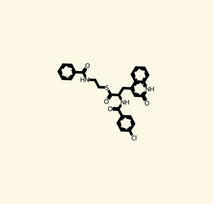 O=C(NCCSC(=O)C(Cc1cc(=O)[nH]c2ccccc12)NC(=O)c1ccc(Cl)cc1)c1ccccc1